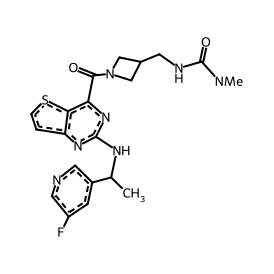 CNC(=O)NCC1CN(C(=O)c2nc(NC(C)c3cncc(F)c3)nc3ccsc23)C1